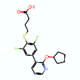 O=C(O)CCCSc1c(F)cc(-c2cccnc2OC2CCCC2)cc1F